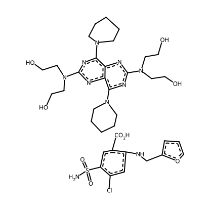 NS(=O)(=O)c1cc(C(=O)O)c(NCc2ccco2)cc1Cl.OCCN(CCO)c1nc(N2CCCCC2)c2nc(N(CCO)CCO)nc(N3CCCCC3)c2n1